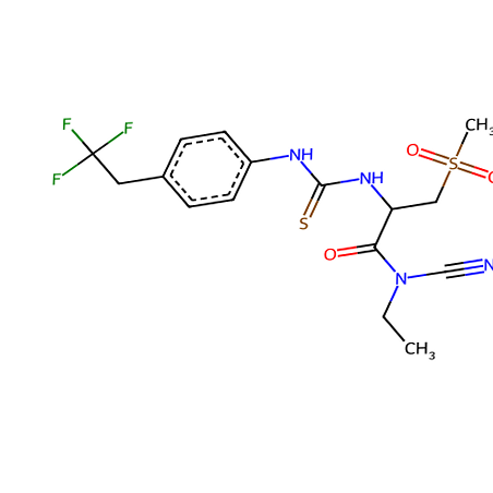 CCN(C#N)C(=O)C(CS(C)(=O)=O)NC(=S)Nc1ccc(CC(F)(F)F)cc1